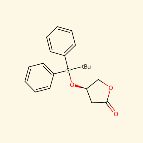 CC(C)(C)[Si](O[C@H]1COC(=O)C1)(c1ccccc1)c1ccccc1